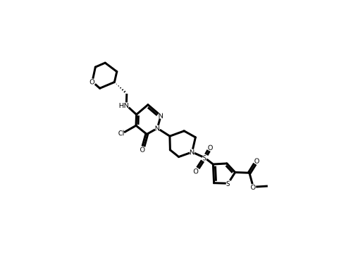 COC(=O)c1cc(S(=O)(=O)N2CCC(n3ncc(NC[C@H]4CCCOC4)c(Cl)c3=O)CC2)cs1